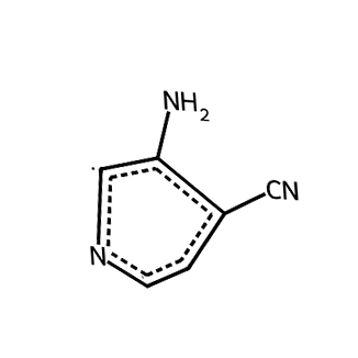 N#Cc1ccn[c]c1N